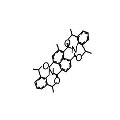 Cc1cc2c3c(ccc4c3c1C(=O)N(c1c(C(C)C)cccc1C(C)C)C4=O)C(=O)N(c1c(C(C)C)cccc1C(C)C)C2=O